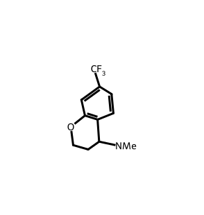 CNC1CCOc2cc(C(F)(F)F)ccc21